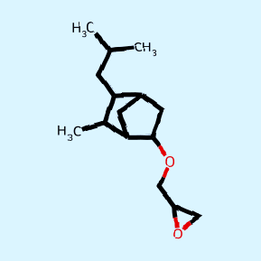 CC(C)CC1C2CC(OCC3CO3)C(C2)C1C